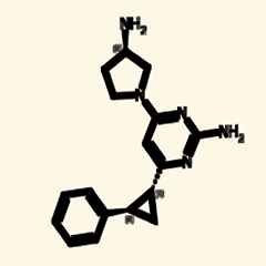 Nc1nc([C@@H]2C[C@H]2c2ccccc2)cc(N2CC[C@@H](N)C2)n1